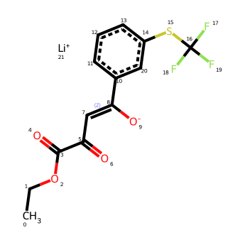 CCOC(=O)C(=O)/C=C(\[O-])c1cccc(SC(F)(F)F)c1.[Li+]